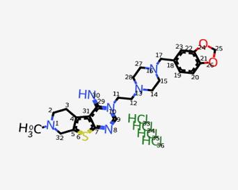 CN1CCc2c(sc3ncn(CCN4CCN(Cc5ccc6c(c5)OCO6)CC4)c(=N)c23)C1.Cl.Cl.Cl.Cl